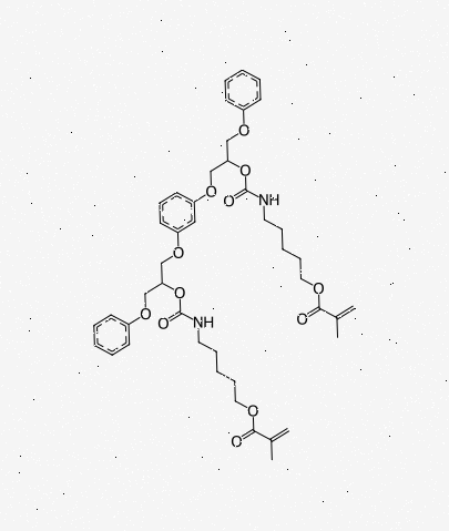 C=C(C)C(=O)OCCCCCNC(=O)OC(COc1ccccc1)COc1cccc(OCC(COc2ccccc2)OC(=O)NCCCCCOC(=O)C(=C)C)c1